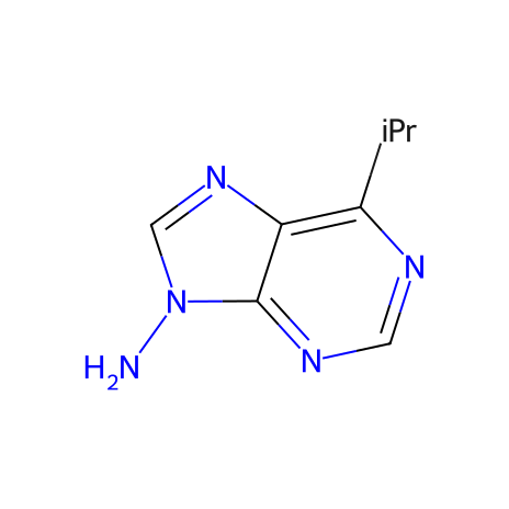 CC(C)c1ncnc2c1ncn2N